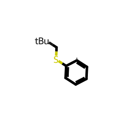 CC(C)(C)CSc1[c]cccc1